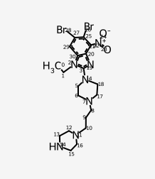 CCn1c(N2CCN(CCCN3CCNCC3)CC2)nc2c([N+](=O)[O-])c(Br)c(Br)cc21